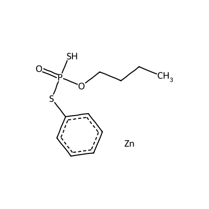 CCCCOP(=O)(S)Sc1ccccc1.[Zn]